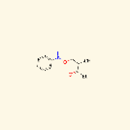 CCC(=O)C(C)CONc1ccccc1